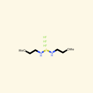 COCCNSNCCOC.F.F.F